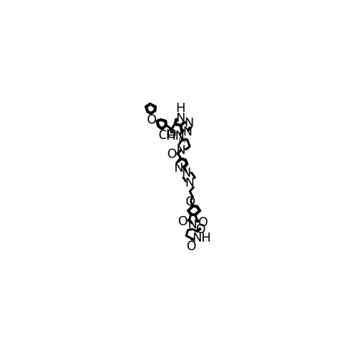 O=C1CCC(N2C(=O)c3ccc(OCCCN4CCN(c5ccc(C(=O)N6CCC[C@@H](Nc7ncnc8[nH]cc(C(=O)c9ccc(Oc%10ccccc%10)cc9Cl)c78)C6)cn5)CC4)cc3C2=O)C(=O)N1